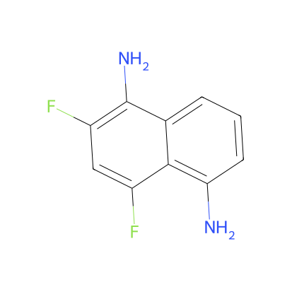 Nc1c(F)cc(F)c2c(N)cccc12